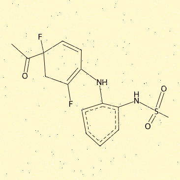 CC(=O)C1(F)C=CC(Nc2ccccc2NS(C)(=O)=O)=C(F)C1